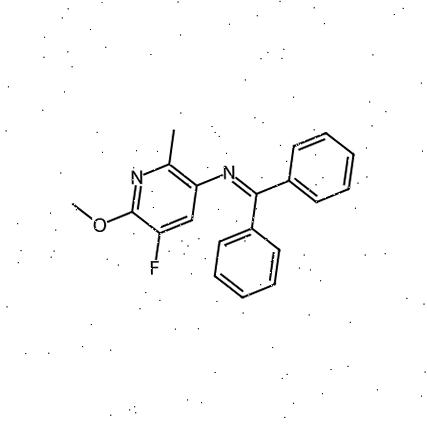 COc1nc(C)c(N=C(c2ccccc2)c2ccccc2)cc1F